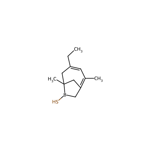 CCC1=CC(C)=C2CB(S)C(C)(C1)C2